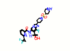 CC(C)(O)c1c(NC(=O)c2cccc(C3CC3(F)F)n2)cn2cc(C3CCN(S(=O)(=O)C4CCNCC4)CC3)nc2c1F